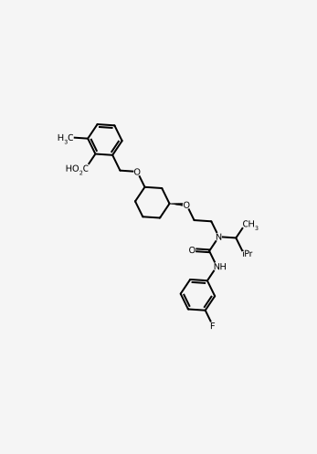 Cc1cccc(COC2CCC[C@H](OCCN(C(=O)Nc3cccc(F)c3)C(C)C(C)C)C2)c1C(=O)O